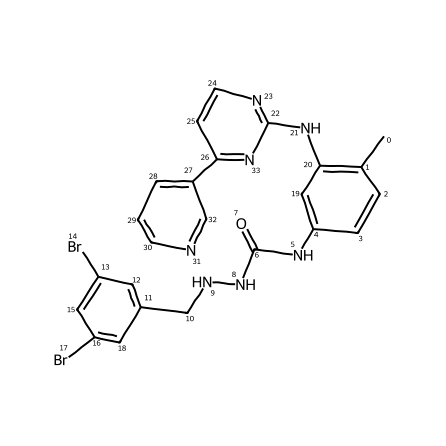 Cc1ccc(NC(=O)NNCc2cc(Br)cc(Br)c2)cc1Nc1nccc(-c2cccnc2)n1